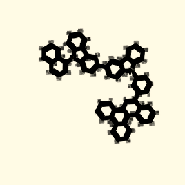 c1cc(-c2cc3c4ccccc4c4ccccc4c3c3ccccc23)cc(-n2c3ccccc3c3cc(-c4ccc5c(c4)c4ccccc4n5-c4cccc5ccccc45)ccc32)c1